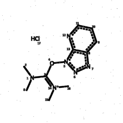 CN(C)C(On1nnc2cccnc21)=[N+](C)C.Cl